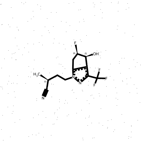 C[C@H](C#N)CCn1nc(C(F)(F)F)c2c1C[C@@H](F)[C@H]2O